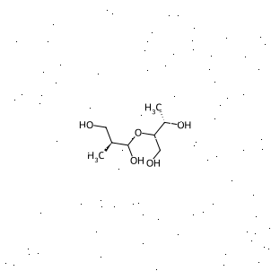 C[C@H](O)C(CO)OC(O)[C@@H](C)CO